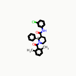 Cc1cccc(C)c1C(=O)N1CCCC(C(=O)Nc2cccc(Cl)c2)[C@@H]1c1ccccc1